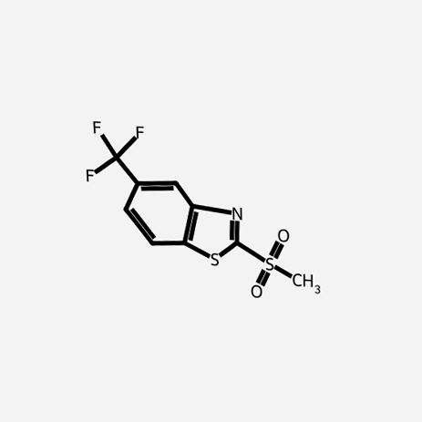 CS(=O)(=O)c1nc2cc(C(F)(F)F)ccc2s1